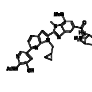 COc1cc(C(=O)N2CC3CCC2[C@@H]3N)cc2nc(-c3cc4ccc(-c5cnc(NC(C)=O)c(O)c5)nc4n3CC3CC3)n(C)c12